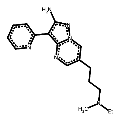 CCN(C)CCCc1cnc2c(-c3ccccn3)c(N)nn2c1